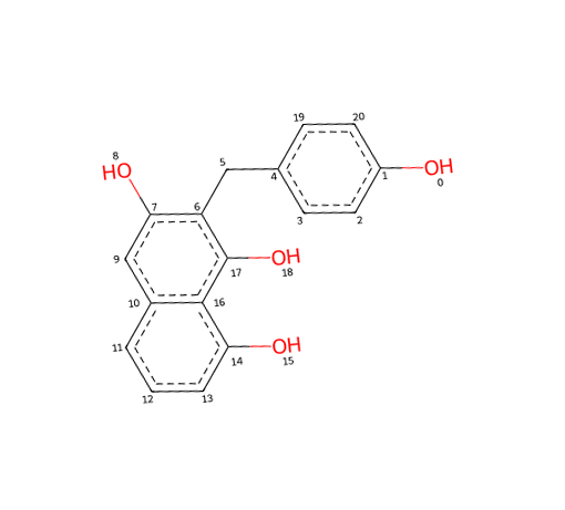 Oc1ccc(Cc2c(O)cc3cccc(O)c3c2O)cc1